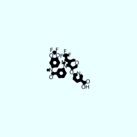 CN(C(=O)c1cccc(-n2nc(C(F)(F)F)c3c2C(Oc2ccc(C(=O)O)cn2)COC3)c1)c1ccc2c(c1)OC(F)(F)O2